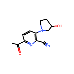 CC(=O)c1ccc(N2CCC(O)C2)c(C#N)n1